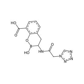 O=C(Cn1cnnn1)NC1Cc2cccc(C(=O)O)c2OB1O